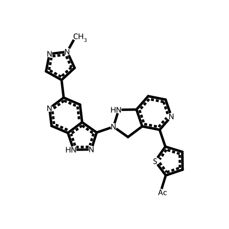 CC(=O)c1ccc(-c2nccc3c2CN(c2n[nH]c4cnc(-c5cnn(C)c5)cc24)N3)s1